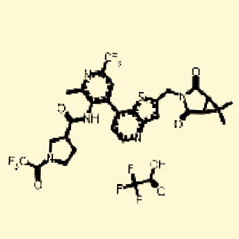 Cc1nc(C(F)(F)F)cc(-c2ccnc3cc(CN4C(=O)C5C(C4=O)C5(C)C)sc23)c1NC(=O)C1CCN(C(=O)C(F)(F)F)C1.O=C(O)C(F)(F)F